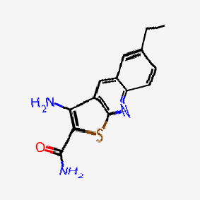 CCc1ccc2nc3sc(C(N)=O)c(N)c3cc2c1